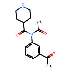 CC(=O)c1cccc(N(C(C)=O)C(=O)C2CCNCC2)c1